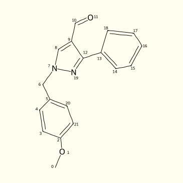 COc1ccc(Cn2cc(C=O)c(-c3ccccc3)n2)cc1